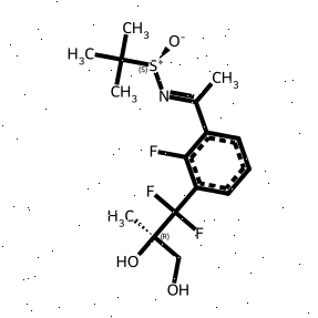 CC(=N[S@+]([O-])C(C)(C)C)c1cccc(C(F)(F)[C@](C)(O)CO)c1F